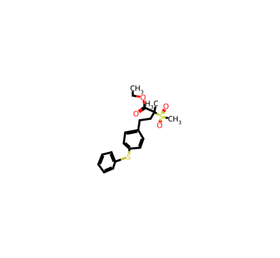 CCOC(=O)C(C)(CCc1ccc(Sc2ccccc2)cc1)S(C)(=O)=O